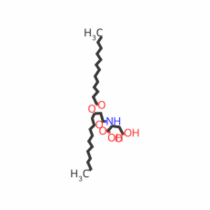 CCCCCCCCCCCCCC(=O)OC(CCCCCCCCCCC)CC(=O)NC(CC(=O)O)C(=O)O